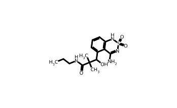 CCCNC(=O)C(C)(C)C(O)c1cccc2c1C(N)=NS(=O)(=O)N2